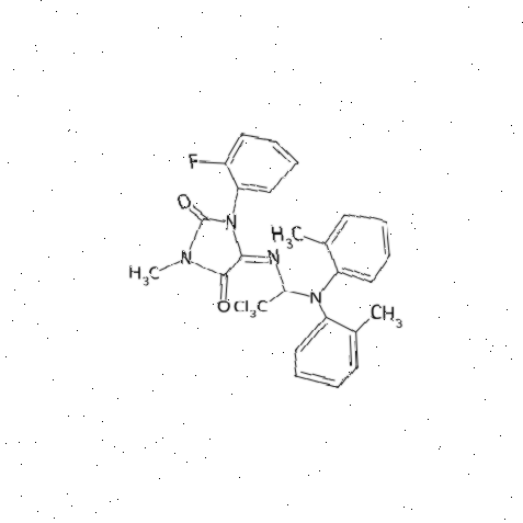 Cc1ccccc1N(c1ccccc1C)C(/N=C1\C(=O)N(C)C(=O)N1c1ccccc1F)C(Cl)(Cl)Cl